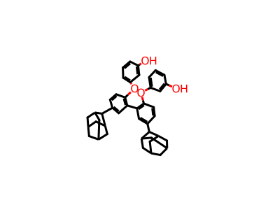 Oc1cccc(Oc2ccc(C3C4CC5CC(C4)CC3C5)cc2-c2cc(C3C4CC5CC(C4)CC3C5)ccc2Oc2cccc(O)c2)c1